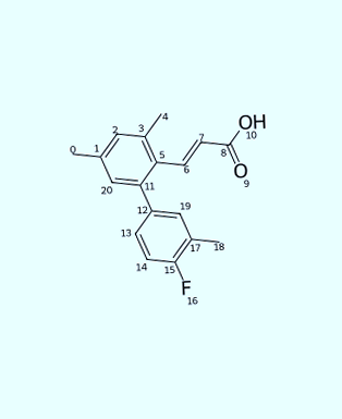 Cc1cc(C)c(C=CC(=O)O)c(-c2ccc(F)c(C)c2)c1